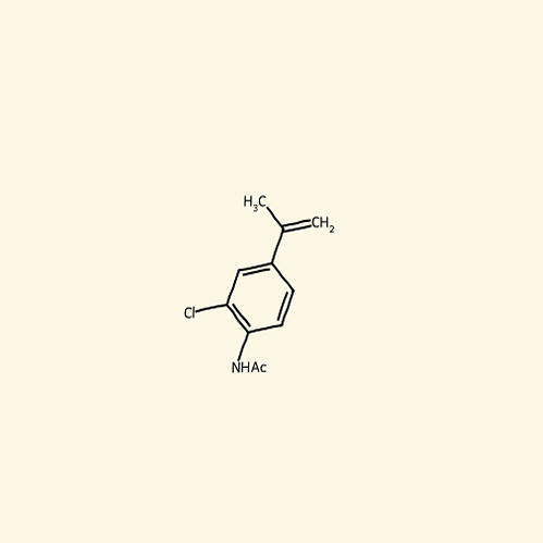 C=C(C)c1ccc(NC(C)=O)c(Cl)c1